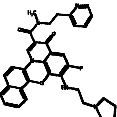 CN(CCc1ccccn1)C(=O)c1cn2c3c(c(NCCN4CCCC4)c(F)cc3c1=O)Oc1c-2ccc2ccccc12